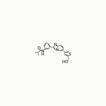 CC(C)C(=O)Nc1cccc(-c2cn3cc(-c4csc(CO)c4)ccc3n2)c1